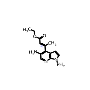 CCOC(=O)/C=C(\C)c1c(N)cnc2c1ccn2P